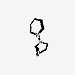 C1=NCCN1N1CCCCC1